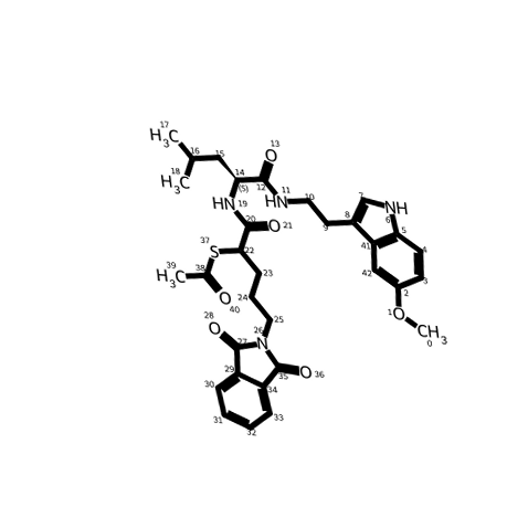 COc1ccc2[nH]cc(CCNC(=O)[C@H](CC(C)C)NC(=O)C(CCCN3C(=O)c4ccccc4C3=O)SC(C)=O)c2c1